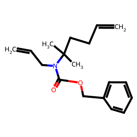 C=CCCC(C)(C)N(CC=C)C(=O)OCc1ccccc1